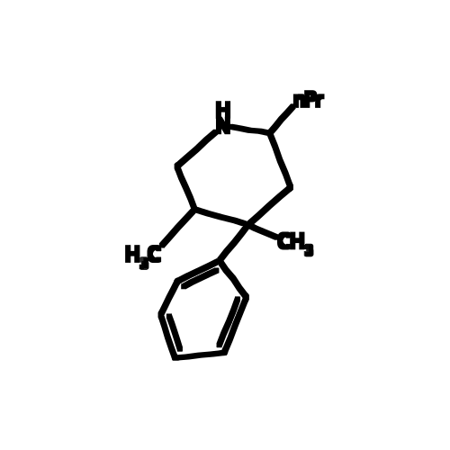 CCCC1CC(C)(c2ccccc2)C(C)CN1